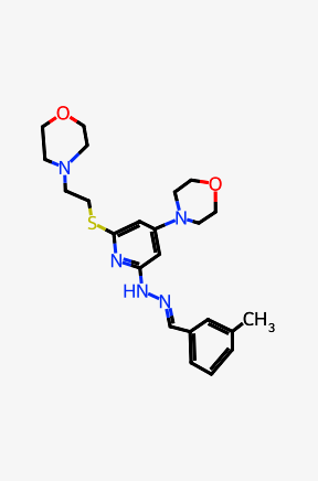 Cc1cccc(C=NNc2cc(N3CCOCC3)cc(SCCN3CCOCC3)n2)c1